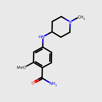 COc1cc(NC2CCN(C)CC2)ccc1C(N)=O